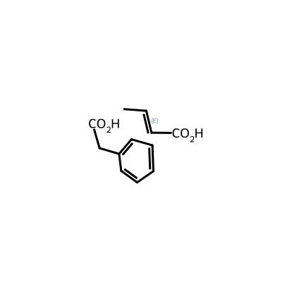 C/C=C/C(=O)O.O=C(O)Cc1ccccc1